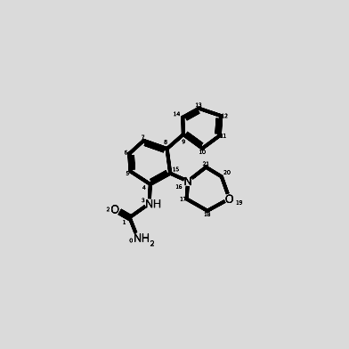 NC(=O)Nc1cccc(-c2ccccc2)c1N1CCOCC1